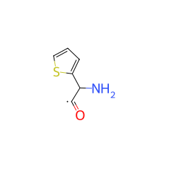 NC([C]=O)c1cccs1